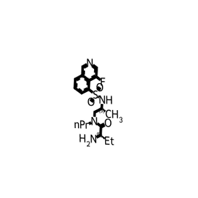 CCCN(C[C@H](C)NS(=O)(=O)c1cccc2cncc(F)c12)C(=O)[C@H](N)CC